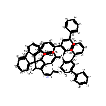 C=C/C=C\C1=C2C=C(N(c3ccc(-c4ccccc4)cc3-c3ccccc3)c3ccc(-c4ccccc4)cc3-c3ccccc3)C=CC2C2(c3ccccc3-c3ccccc32)C1C